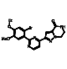 CCOc1cc(Br)c(-c2nccc(-c3cc4n(n3)CCNC4=O)n2)cc1OC